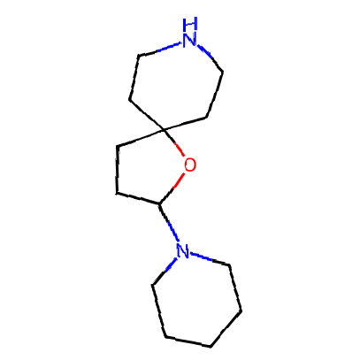 C1CCN(C2CCC3(CCNCC3)O2)CC1